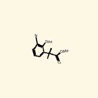 COC(=O)C(C)(C)c1cccc(Br)c1OC